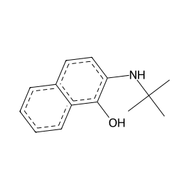 CC(C)(C)Nc1ccc2ccccc2c1O